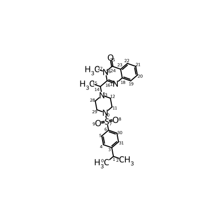 CC(C)c1ccc(S(=O)(=O)N2CCN(C(C)c3nc4ccccc4c(=O)n3C)CC2)cc1